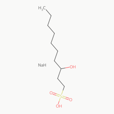 CCCCCCCC(O)CCS(=O)(=O)O.[NaH]